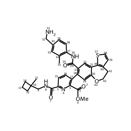 COC(=O)c1nc(C(=O)NCC2(C)CCC2)ccc1-c1cc2c(cc1C(=O)Nc1ccc(CN)cc1C)-c1sccc1CCO2